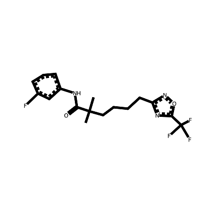 CC(C)(CCCCc1noc(C(F)(F)F)n1)C(=O)Nc1cccc(F)c1